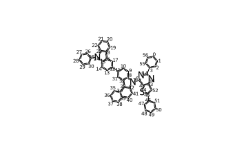 c1ccc(-c2nc(-n3c4ccc(-c5ccc6c(c5)c5ccccc5n6-c5ccccc5)cc4c4c5ccccc5ccc43)c3sc(-c4ccccc4)cc3n2)cc1